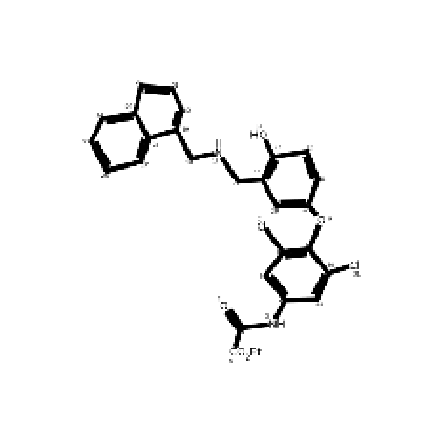 CCOC(=O)C(=O)Nc1cc(Cl)c(Oc2ccc(O)c(CNCc3cccc4ccccc34)c2)c(Cl)c1